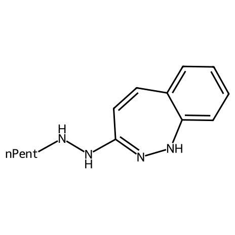 CCCCCNNC1=NNc2ccccc2C=C1